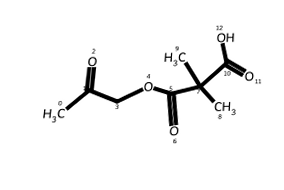 CC(=O)COC(=O)C(C)(C)C(=O)O